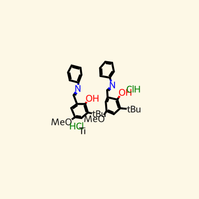 COc1cc(C=Nc2ccccc2)c(O)c(C(C)(C)C)c1.COc1cc(C=Nc2ccccc2)c(O)c(C(C)(C)C)c1.Cl.Cl.[Ti]